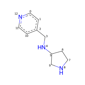 c1cc(CNC2CCNC2)ccn1